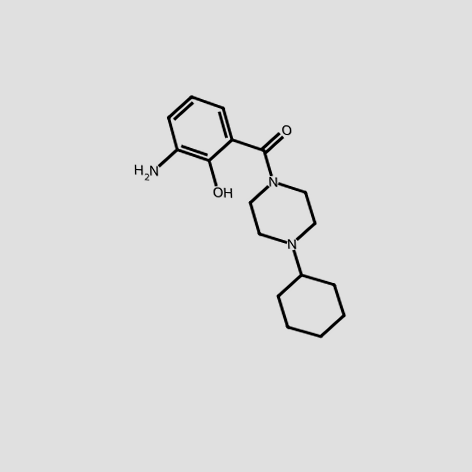 Nc1cccc(C(=O)N2CCN(C3CCCCC3)CC2)c1O